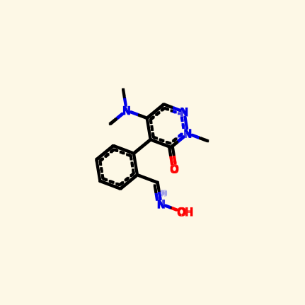 CN(C)c1cnn(C)c(=O)c1-c1ccccc1/C=N/O